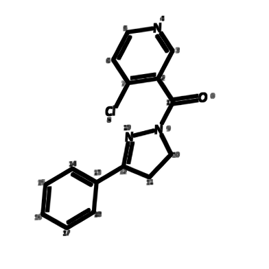 O=C(c1cnccc1Cl)N1CCC(c2ccccc2)=N1